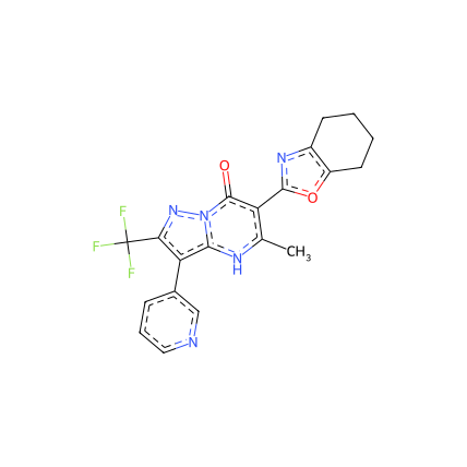 Cc1[nH]c2c(-c3cccnc3)c(C(F)(F)F)nn2c(=O)c1-c1nc2c(o1)CCCC2